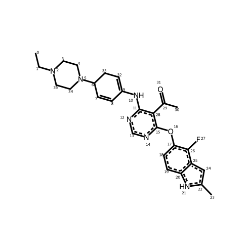 CCN1CCN(C2C=CC(Nc3ncnc(Oc4ccc5[nH]c(C)cc5c4F)c3C(C)=O)=CC2)CC1